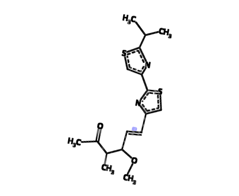 COC(/C=C/c1csc(-c2csc(C(C)C)n2)n1)C(C)C(C)=O